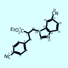 CCOC(=O)C(Cc1ccc(C#N)cc1)Cn1cnc2ccc(C#N)cc21